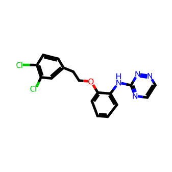 Clc1ccc(CCOc2ccccc2Nc2nccnn2)cc1Cl